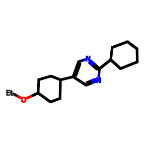 CCOC1CCC(c2cnc(C3CCCCC3)nc2)CC1